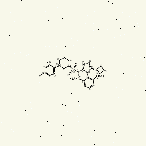 COc1cccc(OC)c1-n1c(NS(=O)(=O)C2CCCN(c3ncc(C)cn3)C2)nnc1C1CCC1